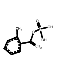 C=C(OP(=O)(O)O)c1ccccc1C